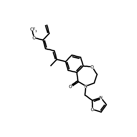 C=C/C(=C\C=C(/C)c1ccc2c(c1)C(=O)N(Cc1ncco1)CCO2)OC(F)(F)F